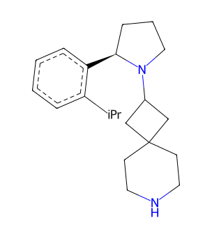 CC(C)c1ccccc1[C@H]1CCCN1C1CC2(CCNCC2)C1